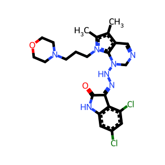 Cc1c2c(n(CCCN3CCOCC3)c1C)N(NN=C1C(=O)Nc3cc(Cl)cc(Cl)c31)CN=C2